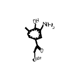 COCC(=O)c1cc(C)c(O)c(N)c1